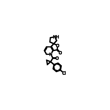 O=C1OC2(CCNC2)C2=C1N(C(=O)C1(c3ccc(Cl)cc3)CC1)CC=C2